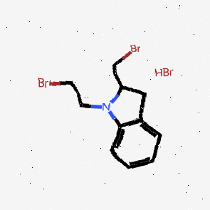 Br.BrCCN1c2ccccc2CC1CBr